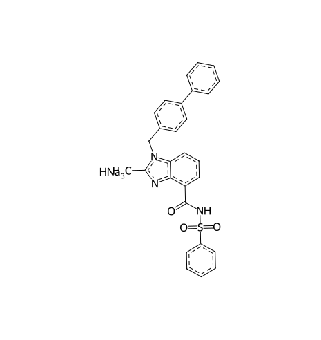 Cc1nc2c(C(=O)NS(=O)(=O)c3ccccc3)cccc2n1Cc1ccc(-c2ccccc2)cc1.[NaH]